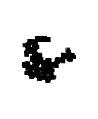 CC(=O)Nc1cc(-n2cc(-c3ncn(COCC[Si](C)(C)C)n3)c(-c3cc(CN4CCCC4)ccc3Cl)n2)c(C)cn1